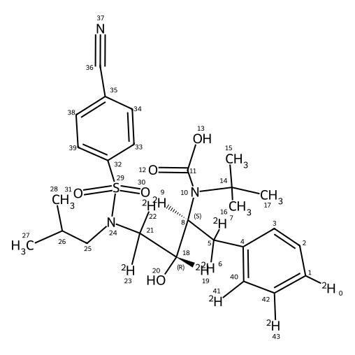 [2H]c1ccc(C([2H])([2H])[C@]([2H])(N(C(=O)O)C(C)(C)C)[C@]([2H])(O)C([2H])([2H])N(CC(C)C)S(=O)(=O)c2ccc(C#N)cc2)c([2H])c1[2H]